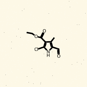 CCOC(=O)c1c(Cl)[nH]c(C=O)c1C